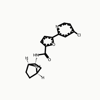 O=C(N[C@@H]1C[C@H]2CC[C@@H]1N2)c1ccc(-c2cc(Cl)ccn2)o1